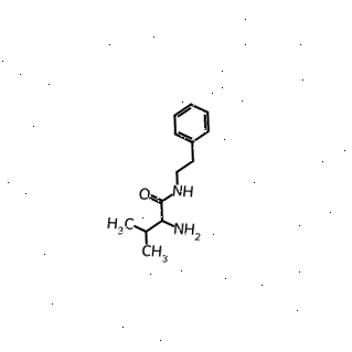 CC(C)C(N)C(=O)NCCc1ccccc1